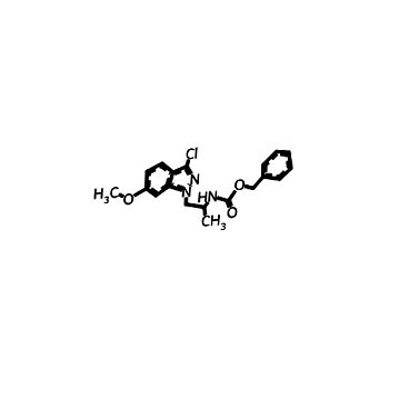 COc1ccc2c(Cl)nn(CC(C)NC(=O)OCc3ccccc3)c2c1